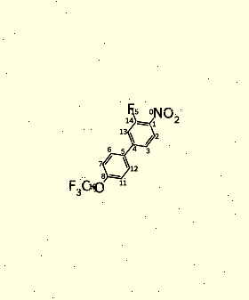 O=[N+]([O-])c1ccc(-c2ccc(OC(F)(F)F)cc2)cc1F